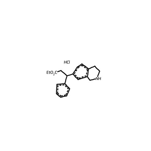 CCOC(=O)CC(c1ccccc1)c1ccc2c(c1)CNCC2.Cl